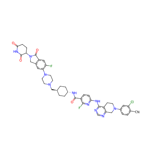 N#Cc1ccc(N2CCc3c(ncnc3Nc3ccc(C(=O)N[C@H]4CC[C@H](CN5CCN(c6cc7c(cc6F)C(=O)N(C6CCC(=O)NC6=O)C7)CC5)CC4)c(F)n3)C2)cc1Cl